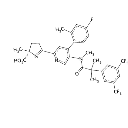 Cc1cc(F)ccc1-c1cc(C2=N[C@](C)(C(=O)O)CC2)ncc1N(C)C(=O)C(C)(C)c1cc(C(F)(F)F)cc(C(F)(F)F)c1